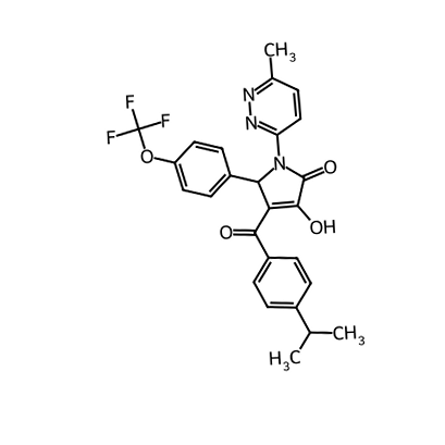 Cc1ccc(N2C(=O)C(O)=C(C(=O)c3ccc(C(C)C)cc3)C2c2ccc(OC(F)(F)F)cc2)nn1